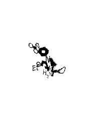 CCOCCC1N(c2ccc3c(c2)oc(=O)n3C)CCN(C(N)=O)C1(C)C